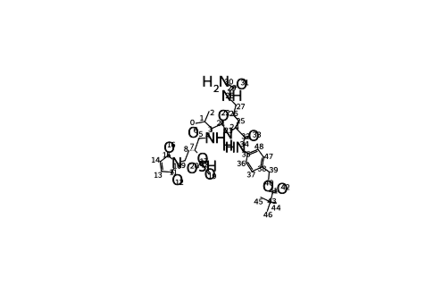 CC(C)[C@H](NC(=O)[C@@H](CCN1C(=O)C=CC1=O)O[SH](=O)=O)C(=O)N[C@@H](CCCNC(N)=O)C(=O)Nc1ccc(COC(=O)C(C)(C)C)cc1